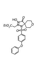 CCOC(=O)CCN(C1(C(=O)NO)CCOCC1)S(=O)(=O)c1ccc(Oc2ccccc2)cc1